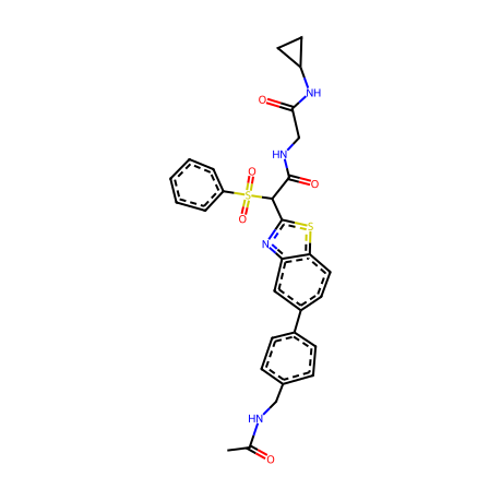 CC(=O)NCc1ccc(-c2ccc3sc(C(C(=O)NCC(=O)NC4CC4)S(=O)(=O)c4ccccc4)nc3c2)cc1